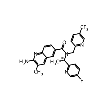 Cc1cc2cc(C(=O)N(Cc3ccc(C(F)(F)F)cn3)[C@H](C)c3ccc(F)cn3)ccc2nc1N